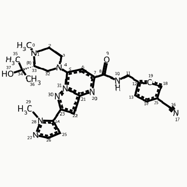 CN1CCN(c2cc(C(=O)NCc3ccc(C#N)cc3)nc3cc(-c4ccnn4C)nn23)C[C@@H]1C(C)(C)O